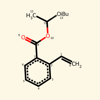 C=Cc1ccccc1C(=O)OC(C)OCC(C)C